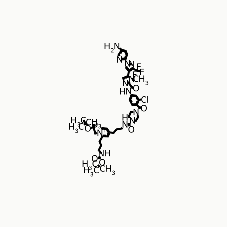 Cn1c(-c2cn(-c3ccc(N)cn3)nc2C(F)(F)F)cnc1C(=O)Nc1ccc(C(=O)N2CCN(C(=O)NCCCc3cc[n+](CC(=O)OC(C)(C)C)c(CCCNC(=O)OC(C)(C)C)c3)CC2)c(Cl)c1